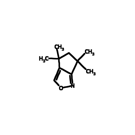 CC1(C)CC(C)(C)c2nocc21